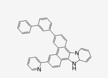 C1=CC2Nc3c(c4ccc(-c5cccc(-c6ccccc6)c5)cc4c4cc(-c5ccccn5)ccc34)N2C=C1